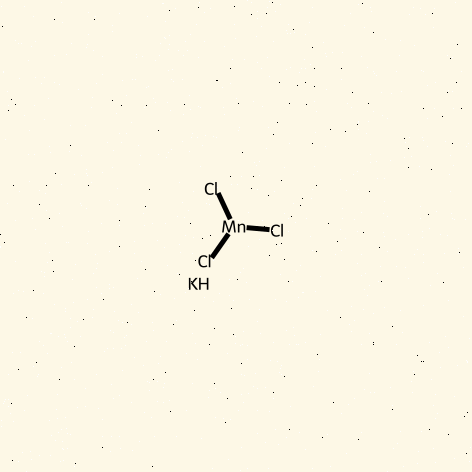 [Cl][Mn]([Cl])[Cl].[KH]